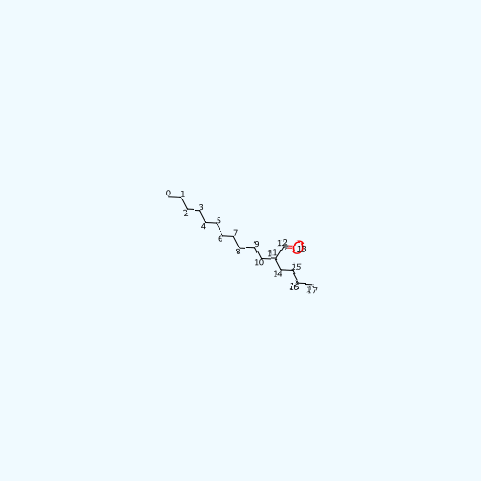 CCCCCCCCCCCC(C=O)CCCC